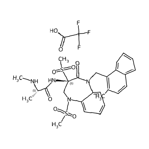 CN[C@@H](C)C(=O)N[C@]1(S(C)(=O)=O)CN(S(C)(=O)=O)c2ccccc2N(Cc2c(C)ccc3ccccc23)C1=O.O=C(O)C(F)(F)F